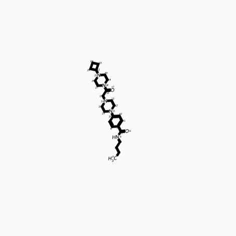 CCCCNC(=O)c1ccc(N2CCN(CC(=O)N3CCN(C4CCC4)CC3)CC2)cc1